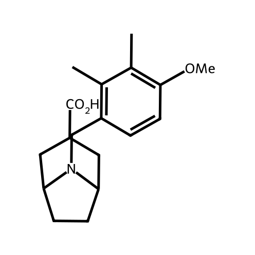 COc1ccc(CN2C3CCC2CC(C(=O)O)C3)c(C)c1C